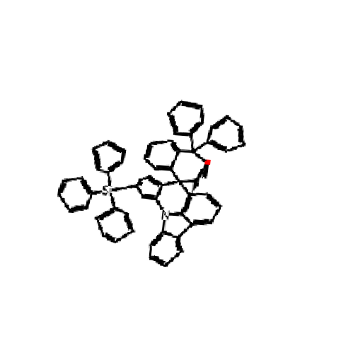 c1ccc(C2(c3ccccc3)c3ccccc3C3(c4ccc([Si](c5ccccc5)(c5ccccc5)c5ccccc5)cc4-n4c5ccccc5c5cccc3c54)c3ccccc32)cc1